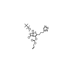 C=CCOC(=O)OC1=C(CCCn2cnnn2)S[C@@H]2[C@@H](CO[Si](C)(C)C(C)(C)C)C(=O)N12